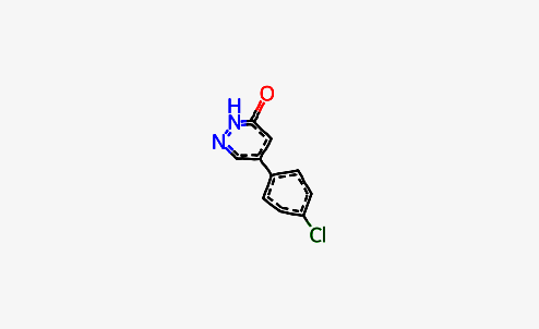 O=c1cc(-c2ccc(Cl)cc2)cn[nH]1